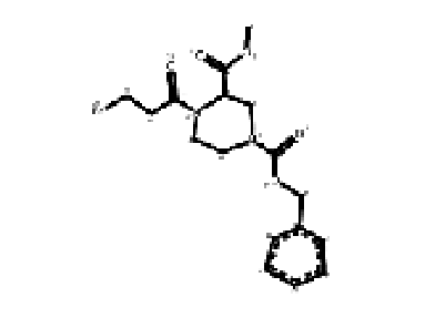 COC(=O)C1CN(C(=O)OCc2ccccc2)CCN1C(=O)CCBr